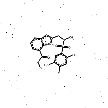 COC(=O)c1cccc2nc(CN(C)S(=O)(=O)c3cc(C)c(Cl)cc3C)[nH]c12